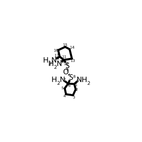 NC1CCCCC1(N)SOSC1(N)CCCCC1N